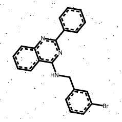 Brc1cccc(CNc2nc(-c3ccccc3)nc3ccccc23)c1